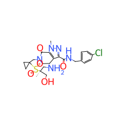 Cn1nc(C(=O)NCc2ccc(Cl)cc2)c2c1C(=O)N(CC1(S(=O)(=O)[C@@](C)(CN)CO)CC1)CC2